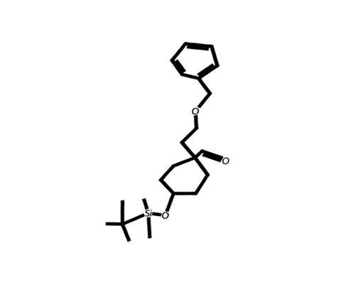 CC(C)(C)[Si](C)(C)OC1CCC(C=O)(CCOCc2ccccc2)CC1